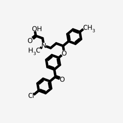 Cc1ccc(C(CCN(C)CC(=O)O)Oc2cccc(C(=O)c3ccc(Cl)cc3)c2)cc1